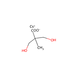 CC(CO)(CO)C(=O)[O-].[Cs+]